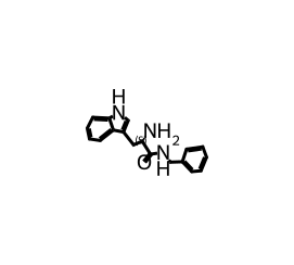 N[C@@H](Cc1c[nH]c2ccccc12)C(=O)NCc1ccccc1